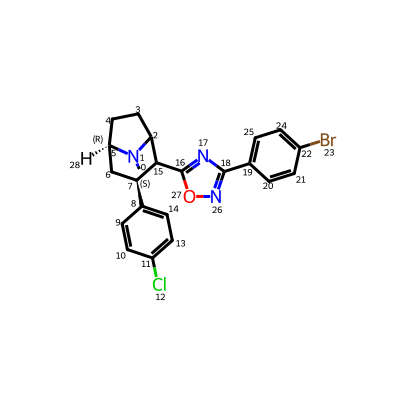 CN1C2CC[C@@H]1C[C@H](c1ccc(Cl)cc1)C2c1nc(-c2ccc(Br)cc2)no1